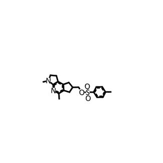 Cc1ccc(S(=O)(=O)OCC2Cc3c(C)nc4c(c3C2)CCN4C)cc1